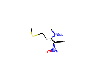 C=C(N=O)[C@H](CCSC)NC